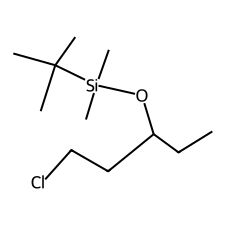 CCC(CCCl)O[Si](C)(C)C(C)(C)C